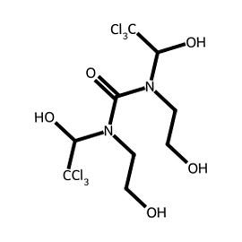 O=C(N(CCO)C(O)C(Cl)(Cl)Cl)N(CCO)C(O)C(Cl)(Cl)Cl